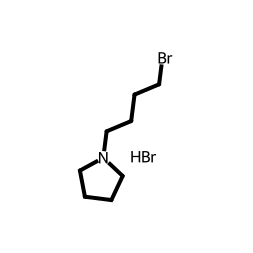 Br.BrCCCCN1CCCC1